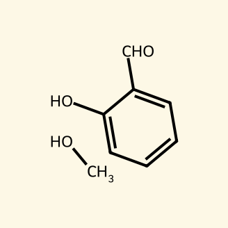 CO.O=Cc1ccccc1O